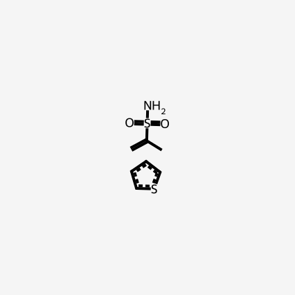 C=C(C)S(N)(=O)=O.c1ccsc1